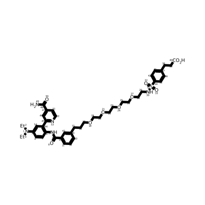 CCN(CC)c1ccc(NC(=O)c2cccc(CCCOCCOCCOCCOCCNS(=O)(=O)c3ccc(CCC(=O)O)cc3)c2)c(-c2cc(C(N)=O)ccn2)c1